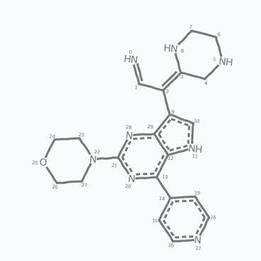 N=C/C(=C1/CNCCN1)c1c[nH]c2c(-c3ccncc3)nc(N3CCOCC3)nc12